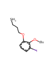 CC(C)(C)Oc1c(I)cccc1OCCC[SiH3]